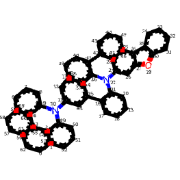 c1ccc(-c2ccccc2N(c2cccc(-c3ccccc3N(c3ccc4c(c3)oc3ccccc34)c3ccccc3-c3ccccc3)c2)c2ccccc2-c2ccccc2)cc1